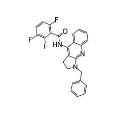 O=C(Nc1c2c(nc3ccccc13)N(Cc1ccccc1)CC2)c1c(F)ccc(F)c1F